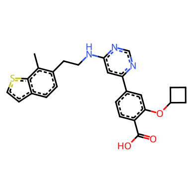 Cc1c(CCNc2cc(-c3ccc(C(=O)O)c(OC4CCC4)c3)ncn2)ccc2ccsc12